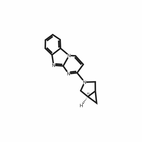 c1ccc2c(c1)nc1nc(N3CC4C[C@H]4C3)ccn12